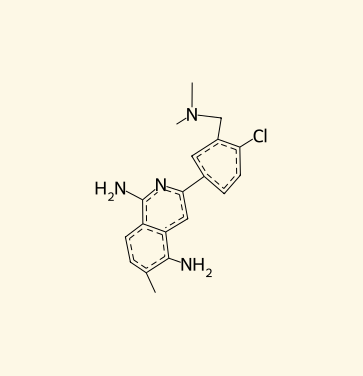 Cc1ccc2c(N)nc(-c3ccc(Cl)c(CN(C)C)c3)cc2c1N